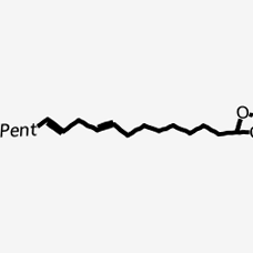 CCCCC/C=C/C/C=C/CCCCCCCC1OOO1